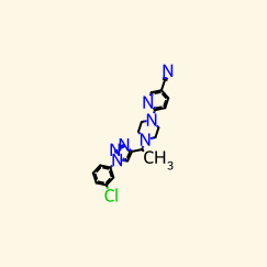 CC(c1cn(-c2cccc(Cl)c2)nn1)N1CCN(c2ccc(C#N)cn2)CC1